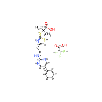 CC(C)(Sc1nc(CCNc2ncc(-c3ccccc3)cn2)cs1)C(=O)O.O=C(O)C(F)(F)F